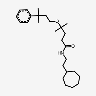 CC(C)(CCC(=O)NCCC1CCCCCC1)OCCC(C)(C)c1ccccc1